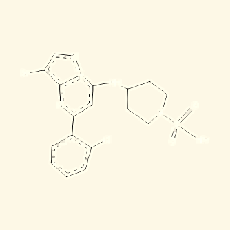 CCCS(=O)(=O)N1CCC(Nc2cc(-c3ccccc3Cl)nc3c(Br)cnn23)CC1